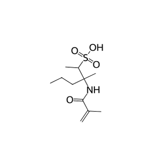 C=C(C)C(=O)NC(C)(CCC)C(C)S(=O)(=O)O